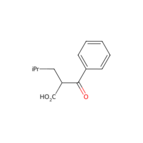 CC(C)CC(C(=O)O)C(=O)c1ccccc1